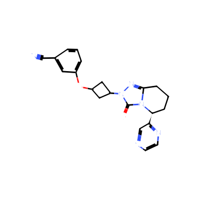 N#Cc1cccc(OC2CC(n3nc4n(c3=O)[C@H](c3cnccn3)CCC4)C2)c1